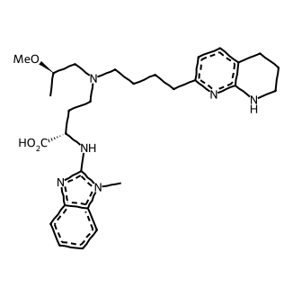 CO[C@H](C)CN(CCCCc1ccc2c(n1)NCCC2)CC[C@H](Nc1nc2ccccc2n1C)C(=O)O